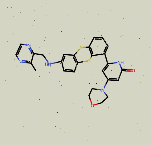 Cc1nccnc1CNc1ccc2c(c1)Sc1cccc(-c3cc(N4CCOCC4)cc(=O)[nH]3)c1S2